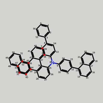 c1ccc(-c2ccc(N(c3ccc(-c4cccc5ccccc45)cc3)c3cccc(-c4ccccc4)c3-c3ccccc3-c3cccc4ccccc34)cc2)cc1